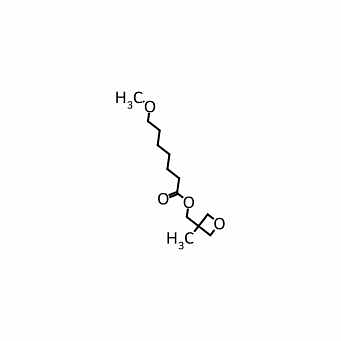 COCCCCCCC(=O)OCC1(C)COC1